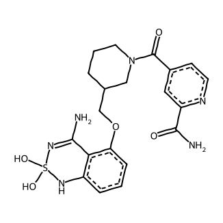 NC(=O)c1cc(C(=O)N2CCCC(COc3cccc4c3C(N)=NS(O)(O)N4)C2)ccn1